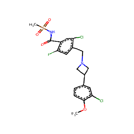 CS(=O)(=O)NC(=O)c1cc(Cl)c(CN2CC(c3ccc(OC(F)(F)F)c(Cl)c3)C2)cc1F